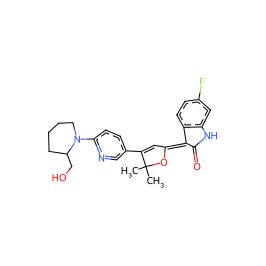 CC1(C)OC(=C2C(=O)Nc3cc(F)ccc32)C=C1c1ccc(N2CCCCC2CO)nc1